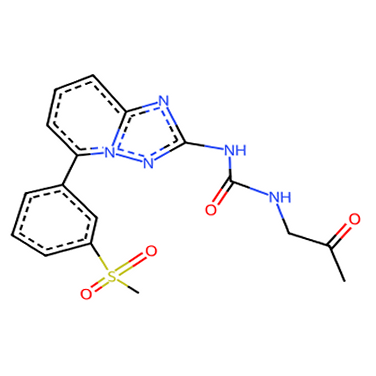 CC(=O)CNC(=O)Nc1nc2cccc(-c3cccc(S(C)(=O)=O)c3)n2n1